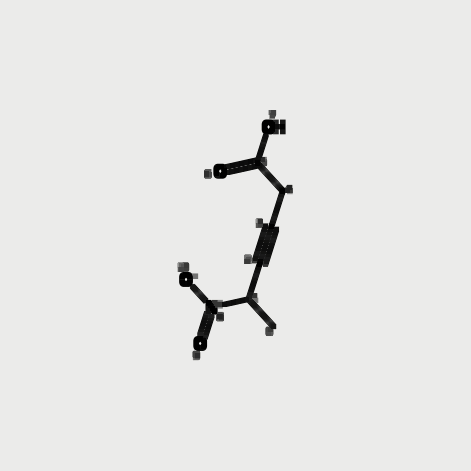 CC(C#CCC(=O)O)[N+](=O)[O-]